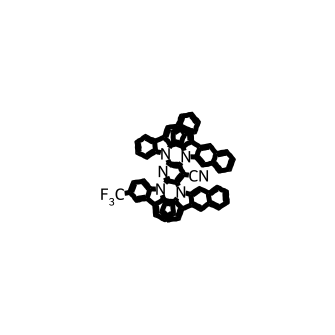 N#Cc1c(-n2c3ccccc3c3cc4ccccc4cc32)c(-n2c3ccccc3c3cc(C(F)(F)F)ccc32)nc(-n2c3ccccc3c3cc4ccccc4cc32)c1-n1c2ccccc2c2cc3ccccc3cc21